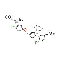 CC[C@@H](CC(=O)O)c1cc(OCc2ccc(-c3cc(OC)ccc3F)c([C@H]3CCCC3(C)C)c2)ccc1F